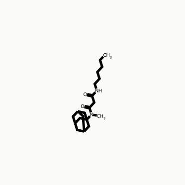 CCCCCCNC(=O)CC(=O)N(C)C12CC3CC(CC(C3)C1)C2